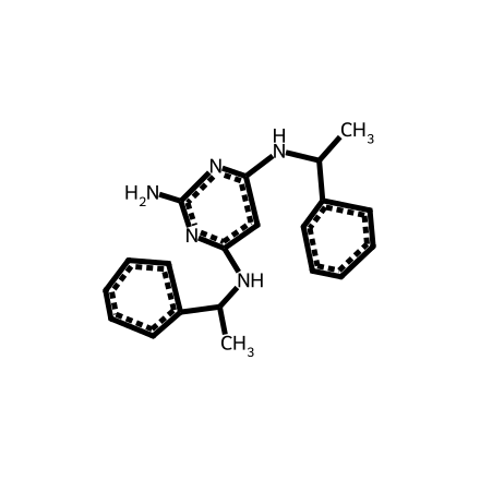 CC(Nc1cc(NC(C)c2ccccc2)nc(N)n1)c1ccccc1